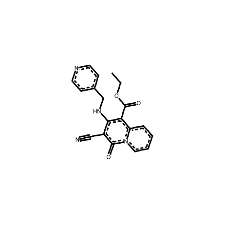 CCOC(=O)c1c(NCc2ccncc2)c(C#N)c(=O)n2ccccc12